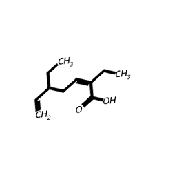 C=CC(CC)CC=C(CC)C(=O)O